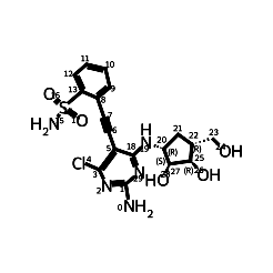 Nc1nc(Cl)c(C#Cc2ccccc2S(N)(=O)=O)c(N[C@@H]2C[C@H](CO)[C@@H](O)[C@H]2O)n1